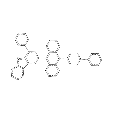 c1ccc(-c2ccc(-c3c4ccccc4c(-c4cc(-c5ccccc5)c5sc6ccccc6c5c4)c4ccccc34)cc2)cc1